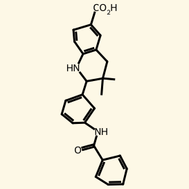 CC1(C)Cc2cc(C(=O)O)ccc2NC1c1cccc(NC(=O)c2ccccc2)c1